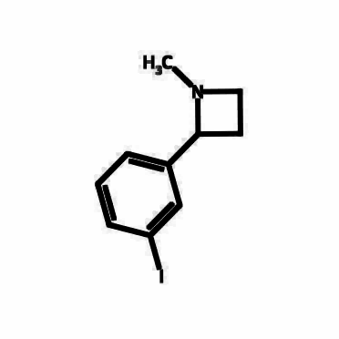 CN1CCC1c1cccc(I)c1